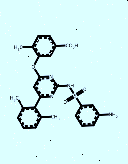 Cc1ccc(C(=O)O)cc1Oc1cc(-c2c(C)cccc2C)nc(NS(=O)(=O)c2cccc(N)c2)n1